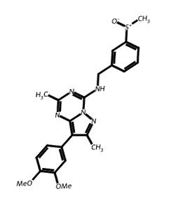 COc1ccc(-c2c(C)nn3c(NCc4cccc([S+](C)[O-])c4)nc(C)nc23)cc1OC